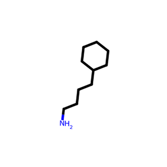 NCCCCC1CCCCC1